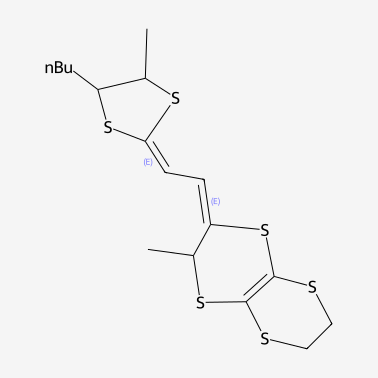 CCCCC1S/C(=C/C=C2/SC3=C(SCCS3)SC2C)SC1C